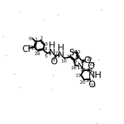 Cc1ccc(CNC(=O)NCc2scc3c2CN([C@@H]2CCC(=O)NC2=O)C3=O)cc1Cl